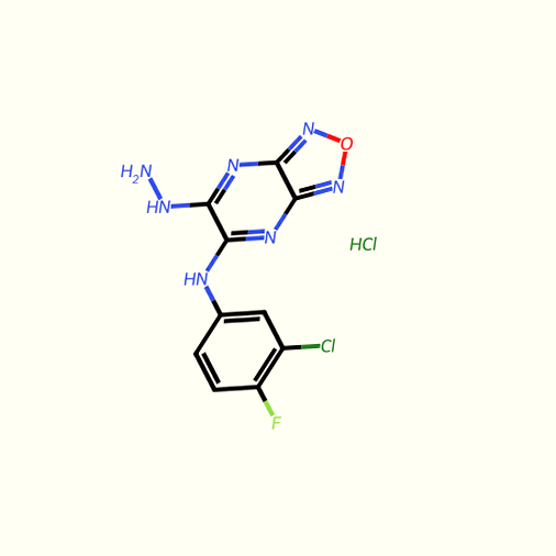 Cl.NNc1nc2nonc2nc1Nc1ccc(F)c(Cl)c1